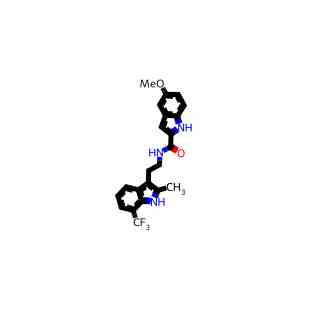 COc1ccc2[nH]c(C(=O)NCCc3c(C)[nH]c4c(C(F)(F)F)cccc34)cc2c1